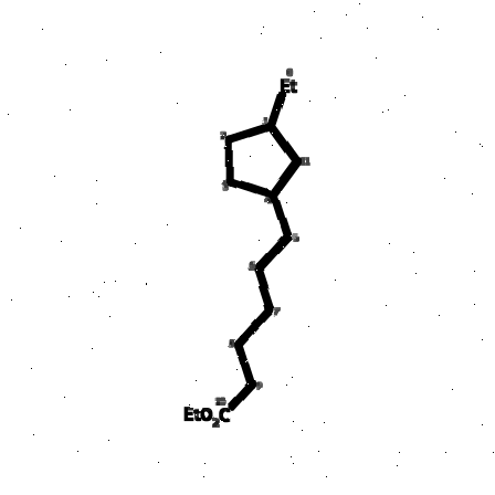 [CH2]CC1C[CH]C(CCCCCC(=O)OCC)C1